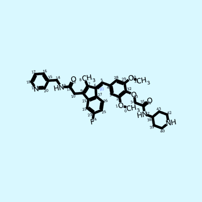 COc1cc(/C=C2/C(C)=C(CC(=O)NCc3cccnc3)c3cc(F)ccc32)cc(OC)c1OCC(=O)NC1CCNCC1